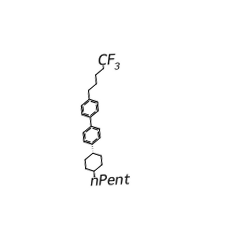 CCCCC[C@H]1CC[C@H](c2ccc(-c3ccc(CCCCC(F)(F)F)cc3)cc2)CC1